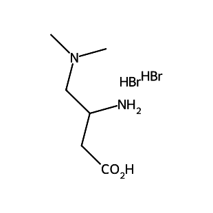 Br.Br.CN(C)CC(N)CC(=O)O